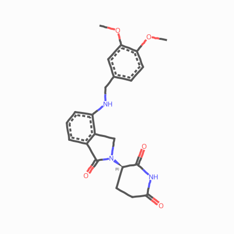 COc1ccc(CNc2cccc3c2CN([C@@H]2CCC(=O)NC2=O)C3=O)cc1OC